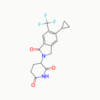 O=C1CCC(N2Cc3cc(C4CC4)c(C(F)(F)F)cc3C2=O)C(=O)N1